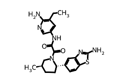 CCc1cc(NC(=O)C(=O)N2C[C@H](C)CC[C@H]2c2ccc3sc(N)nc3c2)cnc1N